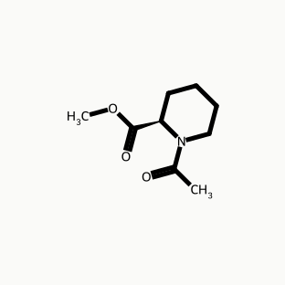 COC(=O)[C@H]1CCCCN1C(C)=O